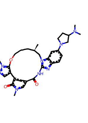 C[C@@H]1CCCOc2c(cnn2C)-c2cc(cn(C)c2=O)C(=O)Nc2nc3ccc(N4CCC(N(C)C)C4)cc3n2C1